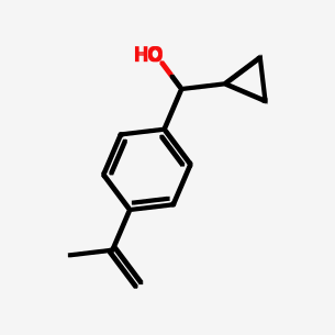 C=C(C)c1ccc(C(O)C2CC2)cc1